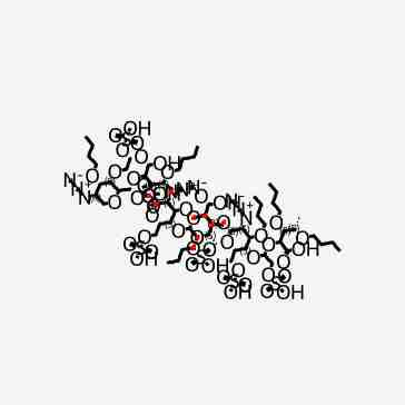 CCCCOC1[C@H](OC(COS(=O)(=O)O)OC(C(=O)O)[C@H](O[C@H]2OC(COS(=O)(=O)O)[C@@H](OC(COS(=O)(=O)O)OC(C(=O)O)[C@H](O[C@@H]3OC(COS(=O)(=O)O)[C@@H](OC(COS(=O)(=O)O)OC(C(=O)O)[C@@H](OCCCC)[C@H](C)OCCCC)C(OCCCC)[C@@H]3N=[N+]=[N-])[C@H](C)OCCCC)C(OCCCC)[C@@H]2N=[N+]=[N-])[C@H](C)OCCCC)C(COS(=O)(=O)O)OC[C@H]1N=[N+]=[N-]